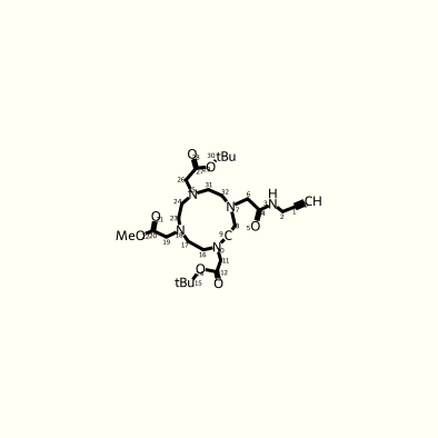 C#CCNC(=O)CN1CCN(CC(=O)OC(C)(C)C)CCN(CC(=O)OC)CCN(CC(=O)OC(C)(C)C)CC1